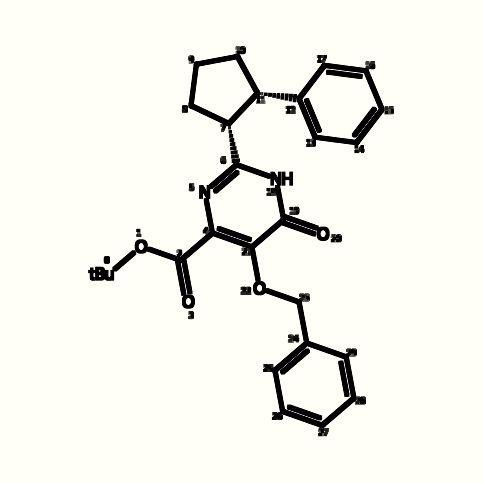 CC(C)(C)OC(=O)c1nc([C@@H]2CCC[C@@H]2c2ccccc2)[nH]c(=O)c1OCc1ccccc1